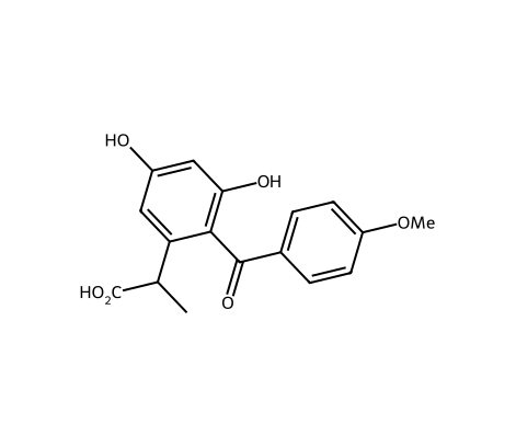 COc1ccc(C(=O)c2c(O)cc(O)cc2C(C)C(=O)O)cc1